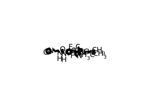 CS(C)(C)CCOCn1cc(C(F)(F)F)c2c(Oc3ccc(NC(=O)NCCCN4CCOCC4)cc3F)ccnc21